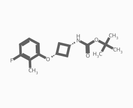 Cc1c(F)cccc1O[C@H]1C[C@@H](NC(=O)OC(C)(C)C)C1